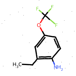 CCc1cc(OC(F)(F)F)ccc1N